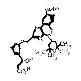 COc1ccc(F)c(-c2ncc(COc3cccc([C@H](O)CC(=O)O)c3)nc2OC2CC(C)(C)OC(C)(C)C2)c1